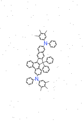 Cc1cc(N(c2ccccc2)c2ccc3cc4c(cc3c2)C(c2ccccc2)(c2ccccc2)c2c-4c3ccccc3c3cc(N(c4ccccc4)c4cc(C)c(C)c(C)c4)ccc23)cc(C)c1C